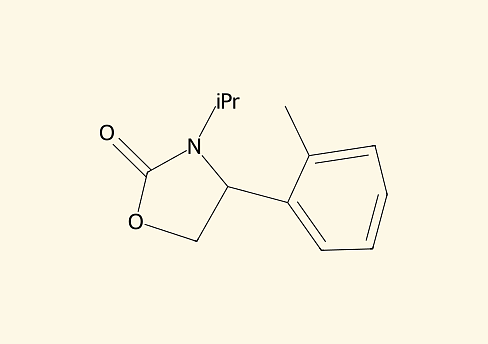 Cc1ccccc1C1COC(=O)N1C(C)C